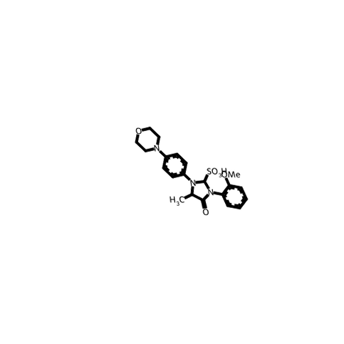 COc1ccccc1N1C(=O)C(C)N(c2ccc(N3CCOCC3)cc2)C1S(=O)(=O)O